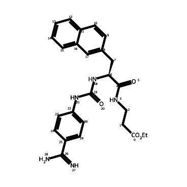 CCOC(=O)CCNC(=O)[C@H](Cc1ccc2ccccc2c1)NC(=O)Nc1ccc(C(=N)N)cc1